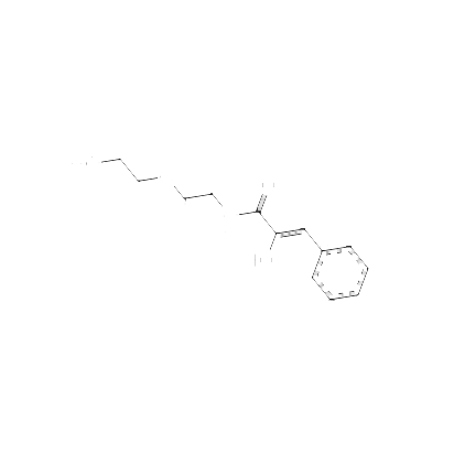 O=C(OCCOCCO)/C(O)=C/c1ccccc1